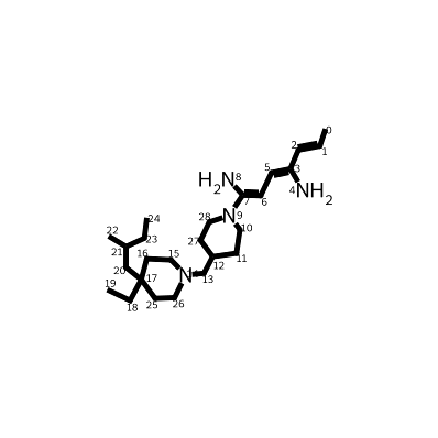 C/C=C/C(N)=C/C=C(\N)N1CCC(CN2CCC(CC)(CC(C)CC)CC2)CC1